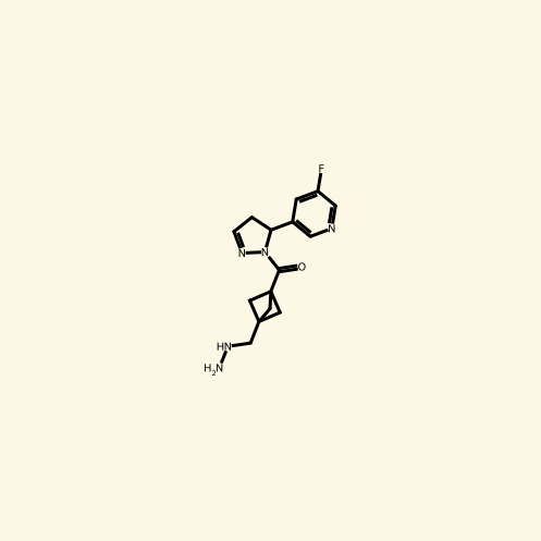 NNCC12CC(C(=O)N3N=CCC3c3cncc(F)c3)(C1)C2